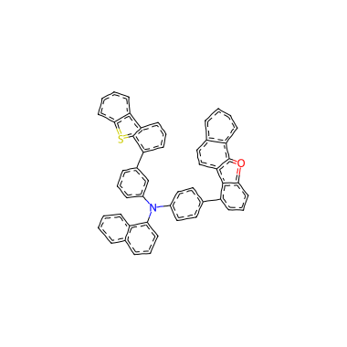 c1cc(-c2cccc3c2sc2ccccc23)cc(N(c2ccc(-c3cccc4oc5c6ccccc6ccc5c34)cc2)c2cccc3ccccc23)c1